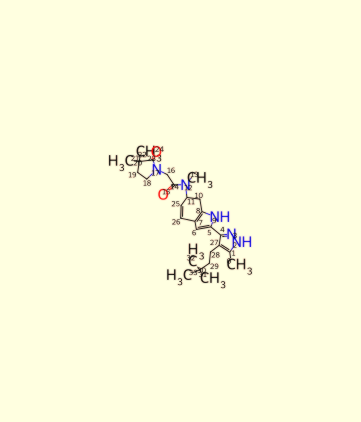 Cc1[nH]nc(-c2cc3c([nH]2)CC(N(C)C(=O)CN2CCC(C)(C)C2=O)C=C3)c1CCC(C)(C)C